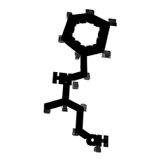 CC(CCO)NCc1ccccc1